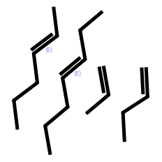 C/C=C/CCC.C=CC.C=CCC.CC/C=C/CCC